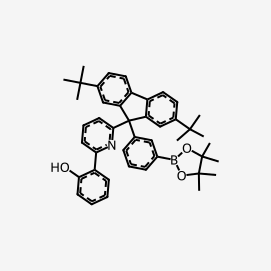 CC(C)(C)c1ccc2c(c1)C(c1cccc(B3OC(C)(C)C(C)(C)O3)c1)(c1cccc(-c3ccccc3O)n1)c1cc(C(C)(C)C)ccc1-2